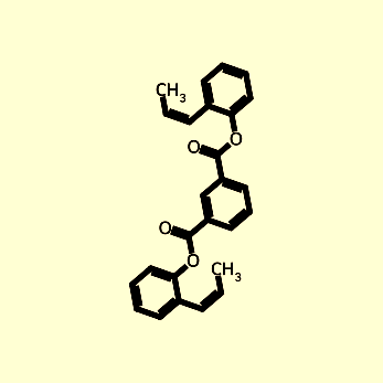 C/C=C\c1ccccc1OC(=O)c1cccc(C(=O)Oc2ccccc2/C=C\C)c1